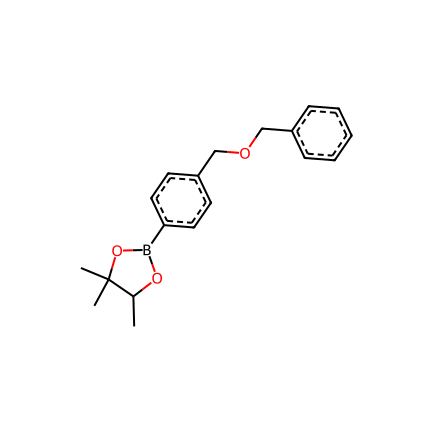 CC1OB(c2ccc(COCc3ccccc3)cc2)OC1(C)C